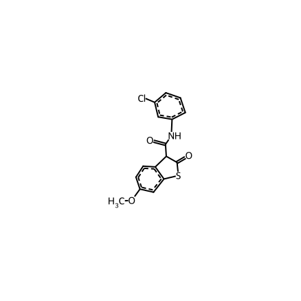 COc1ccc2c(c1)SC(=O)C2C(=O)Nc1cccc(Cl)c1